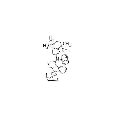 CC1(C)CCC(C)(C)c2cc(N(c3ccccc3)c3cccc4c3-c3c(-c5ccccc5)cccc3C43C4CC5CC6CC3C64C5)ccc21